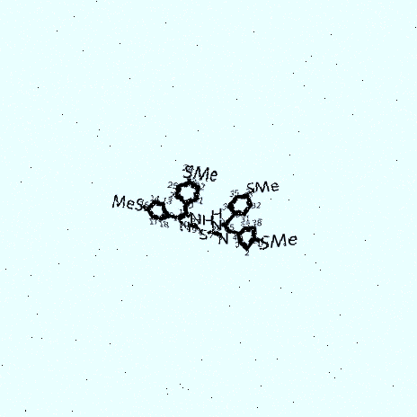 CSc1ccc(-c2nc(Sc3nc(-c4ccc(SC)cc4)c(-c4ccc(SC)cc4)[nH]3)[nH]c2-c2ccc(SC)cc2)cc1